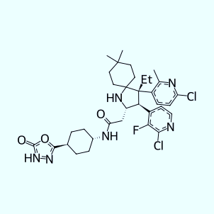 CC[C@@]1(c2ccc(Cl)nc2C)[C@@H](c2ccnc(Cl)c2F)[C@H](CC(=O)N[C@H]2CC[C@H](c3n[nH]c(=O)o3)CC2)NC12CCC(C)(C)CC2